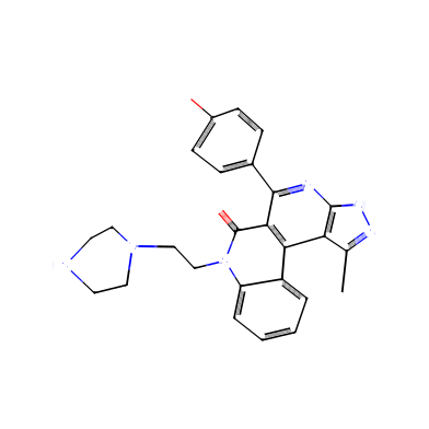 Cc1n[nH]c2nc(-c3ccc(O)cc3)c3c(=O)n(CCN4CCNCC4)c4ccccc4c3c12